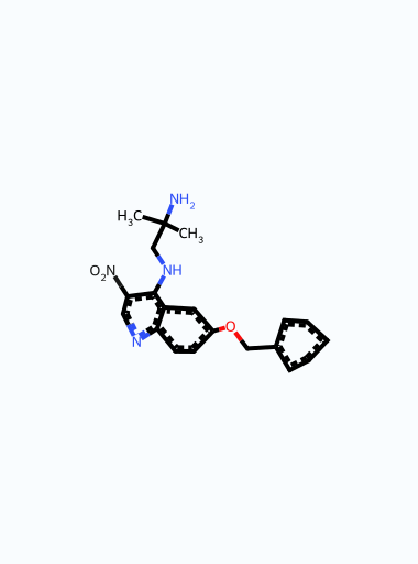 CC(C)(N)CNc1c([N+](=O)[O-])cnc2ccc(OCc3ccccc3)cc12